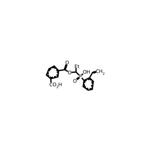 C=Cc1ccccc1P(=O)(O)C(CC)OC(=O)c1cccc(C(=O)O)c1